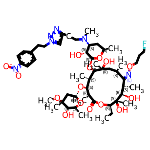 CC[C@H]1OC(=O)[C@H](C)[C@@H](O[C@H]2C[C@@](C)(OC)[C@@H](O)[C@H](C)O2)[C@H](C)[C@@H](O[C@@H]2O[C@H](C)C[C@H](N(C)CCc3cn(CCc4ccc([N+](=O)[O-])cc4)nn3)[C@H]2O)[C@](C)(O)C[C@@H](C)/C(=N\OCCCF)[C@H](C)[C@@H](O)[C@]1(C)O